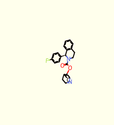 O=C(OC1CN2CCC1CC2)N1CCc2ccccc2[C@@H]1c1ccc(F)cc1